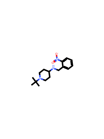 CC(C)(C)N1CCC(NCc2ccccc2[N+](=O)[O-])CC1